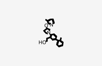 Cc1ccccc1-c1ccc(N2CCC(Oc3ncccc3C)C2)c(CCO)c1